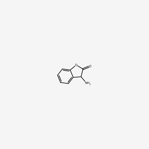 NC1C(=O)Oc2ccccc21